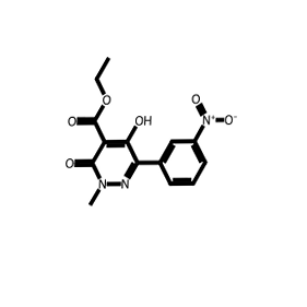 CCOC(=O)c1c(O)c(-c2cccc([N+](=O)[O-])c2)nn(C)c1=O